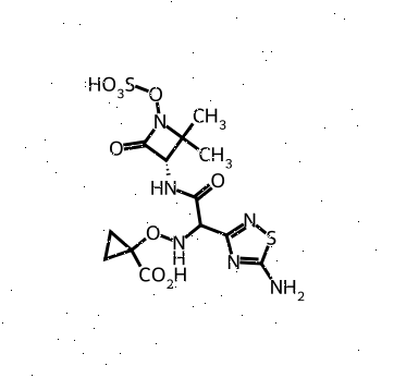 CC1(C)[C@H](NC(=O)C(NOC2(C(=O)O)CC2)c2nsc(N)n2)C(=O)N1OS(=O)(=O)O